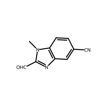 Cn1c(C=O)nc2cc(C#N)ccc21